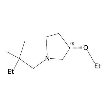 CCO[C@H]1CCN(CC(C)(C)CC)C1